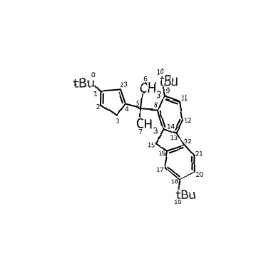 CC(C)(C)C1=CCC(C(C)(C)c2c(C(C)(C)C)ccc3c2Cc2cc(C(C)(C)C)ccc2-3)=C1